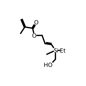 C=C(C)C(=O)OCC=C[Si](C)(CC)CO